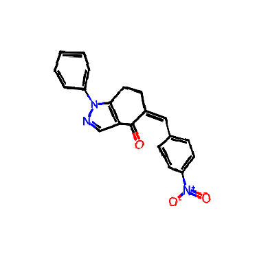 O=C1C(=Cc2ccc([N+](=O)[O-])cc2)CCc2c1cnn2-c1ccccc1